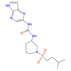 CC(C)CCS(=O)(=O)N1CCCC(NC(=O)Nc2cnc3[nH]ccc3n2)C1